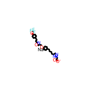 O=C([O-])Cn1ncc(CCCCc2ccc(OCc3coc(C=Cc4ccc(OC(F)(F)F)cc4)n3)cc2)n1.[Na+]